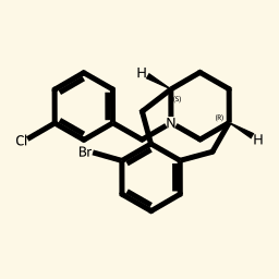 Clc1cccc(CN2C[C@@H]3CC[C@H]2Cc2c(Br)cccc2C3)c1